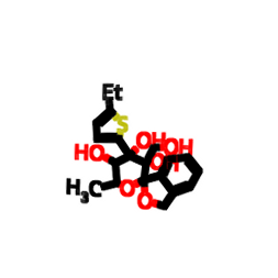 CCc1ccc(C2(O)C(O)C(C)OC3(OCc4ccccc43)C2(O)CO)s1